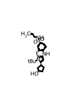 C=CCNS(=O)(=O)c1ccc(Nc2cc([C@H]3CC[C@@H](O)C3)n(C(C)(C)C)n2)c(F)c1